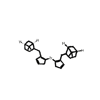 CC1(C)[C@H]2CCC(CC3=[C]([Zr][C]4=C(CC5CC[C@H]6C[C@@H]5C6(C)C)C=CC4)CC=C3)[C@@H]1C2